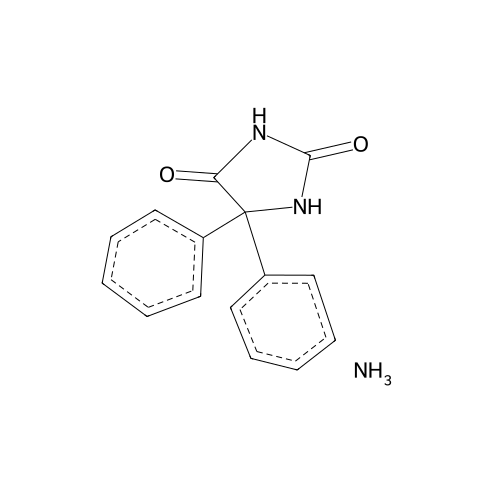 N.O=C1NC(=O)C(c2ccccc2)(c2ccccc2)N1